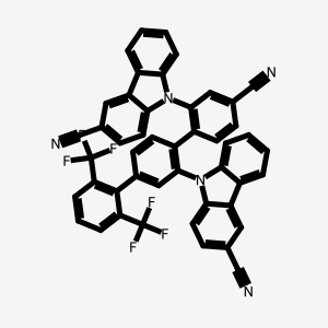 N#Cc1ccc(-c2ccc(-c3c(C(F)(F)F)cccc3C(F)(F)F)cc2-n2c3ccccc3c3cc(C#N)ccc32)c(-n2c3ccccc3c3cc(C#N)ccc32)c1